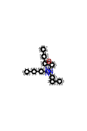 c1ccc(-c2ccc(-c3ccc(-c4nc(-c5ccc6c(-c7ccccc7)cccc6c5)nc(-c5cccc6oc7c(-c8ccc(-c9ccccc9)cc8)cccc7c56)n4)cc3)cc2)cc1